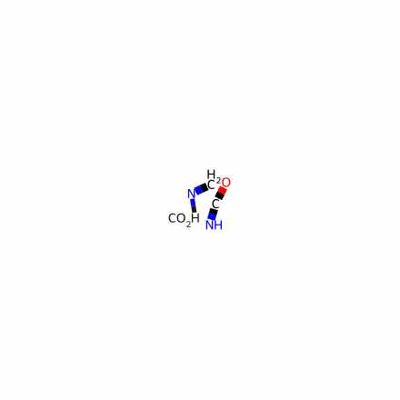 C=NC(=O)O.N=C=O